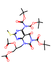 CSc1nc(N(C(=O)OC(C)(C)C)C(=O)OC(C)(C)C)c2c(=O)n(C(=O)OC(C)(C)C)c(=O)n(CC(COC(C)=O)OC(C)=O)c2n1